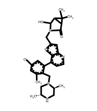 Cc1cc(Cl)cc(-c2ccnc3cc(CN4C(=O)C5C(C4O)C5(C)C)sc23)c1CN1C[C@@H](C)NC[C@@H]1C